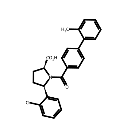 Cc1ccccc1-c1ccc(C(=O)N2[C@@H](c3ccccc3Cl)CC[C@H]2C(=O)O)cc1